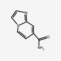 NC(=O)c1ccn2ccnc2c1